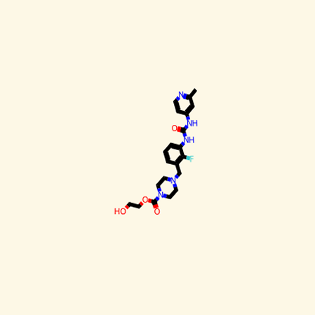 Cc1cc(NC(=O)Nc2cccc(CN3CCN(C(=O)OCCO)CC3)c2F)ccn1